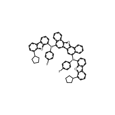 Fc1ccc(N(c2cc3c4cc(N(c5ccc(F)cc5)c5cccc6c5oc5c(C7CCCC7)cccc56)c5ccccc5c4oc3c3ccccc23)c2cccc3c2oc2c(C4CCCC4)cccc23)cc1